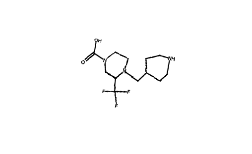 O=C(O)N1CCN(CC2CCNCC2)C(C(F)(F)F)C1